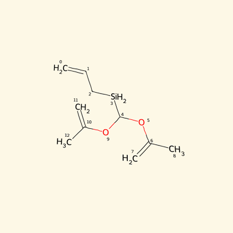 C=CC[SiH2]C(OC(=C)C)OC(=C)C